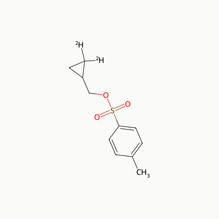 [2H]C1([2H])CC1COS(=O)(=O)c1ccc(C)cc1